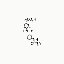 CC1(C)Cc2cc(OC(=O)O)ccc2NC1c1cccc(NC(=O)N2CCCC2)c1